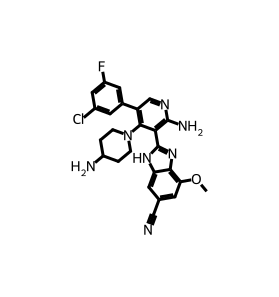 COc1cc(C#N)cc2[nH]c(-c3c(N)ncc(-c4cc(F)cc(Cl)c4)c3N3CCC(N)CC3)nc12